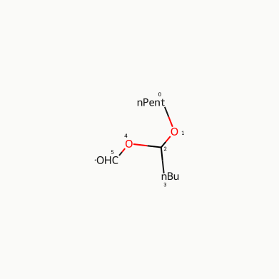 CCCCCOC(CCCC)O[C]=O